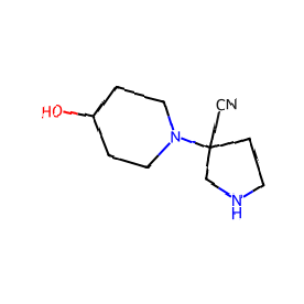 N#CC1(N2CCC(O)CC2)CCNC1